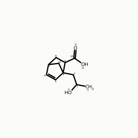 CC(O)CC12C=CC(CC1C(=O)O)C2